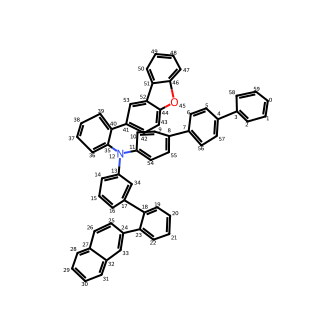 c1ccc(-c2ccc(-c3ccc(N(c4cccc(-c5ccccc5-c5ccc6ccccc6c5)c4)c4ccccc4-c4ccc5oc6ccccc6c5c4)cc3)cc2)cc1